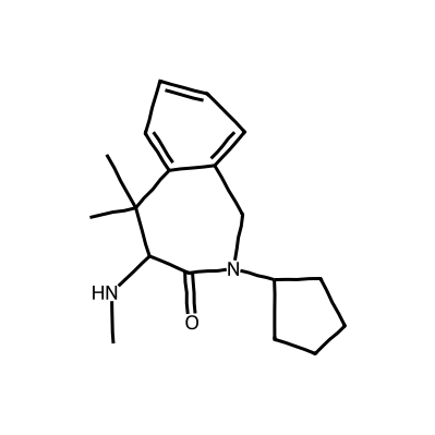 CNC1C(=O)N(C2CCCC2)Cc2ccccc2C1(C)C